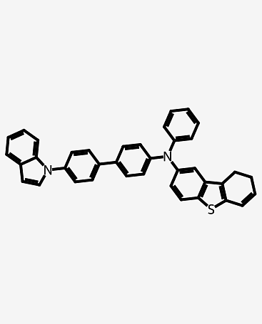 C1=Cc2sc3ccc(N(c4ccccc4)c4ccc(-c5ccc(-n6ccc7ccccc76)cc5)cc4)cc3c2CC1